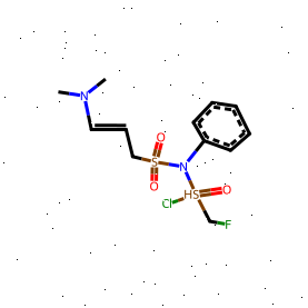 CN(C)C=CCS(=O)(=O)N(c1ccccc1)[SH](=O)(Cl)CF